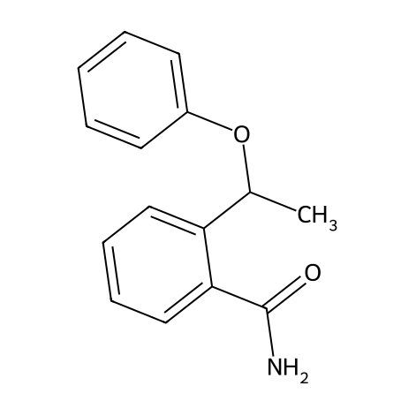 CC(Oc1ccccc1)c1ccccc1C(N)=O